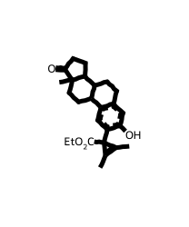 CCOC(=O)C1(c2cc3c(cc2O)CCC2C3CCC3(C)C(=O)CCC23)C(C)=C1C